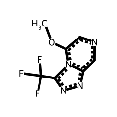 COc1cncc2nnc(C(F)(F)F)n12